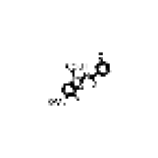 COc1ccc2c(sc(=NC(=O)c3cccc(Cl)c3)n2CC(=O)O)c1F